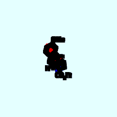 CCOC(=O)N1CC[C@]23CCC(=O)C[C@H]2[C@H]1Cc1ccc(OC)cc13